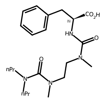 CCCN(CCC)C(=O)N(C)CCN(C)C(=O)N[C@@H](Cc1ccccc1)C(=O)O